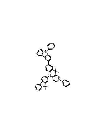 CC1(C)c2ccccc2-c2ccc(N3c4ccc(-c5ccccc5)cc4C(C)(C)c4cc(-c5ccc6c(c5)c5ccccc5n6-c5ccccc5)ccc43)cc21